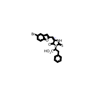 O=C(O)C(Cc1ccccc1)N1C(=O)/C(=C\c2cc3cc(Br)ccc3o2)NC1=S